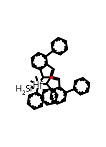 [CH3][Hf]([CH3])(=[SiH2])([c]1ccccc1)([c]1ccccc1)([CH]1C=Cc2c(-c3ccccc3)cccc21)[CH]1C=Cc2c(-c3ccccc3)cccc21